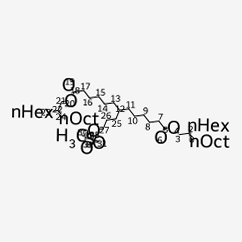 CCCCCCCCC(CCCCCC)COC(=O)CCCCCC(CCCCCC(=O)OCC(CCCCCC)CCCCCCCC)CCCOS(C)(=O)=O